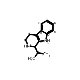 CC(C)C1NCCc2c1[nH]c1ccccc21